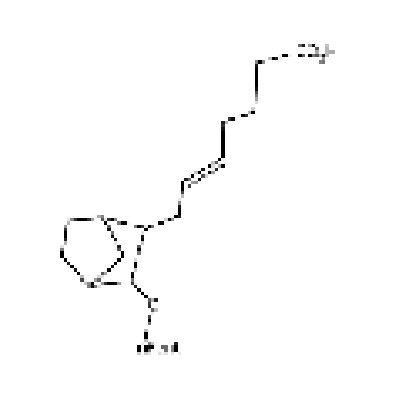 CCCCCOC1C2CCC(C2)C1CC=CCCCC(=O)O